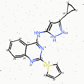 C1=C[SH](c2nc(Nc3cc(C4CC4)n[nH]3)c3ccccc3n2)C=C1